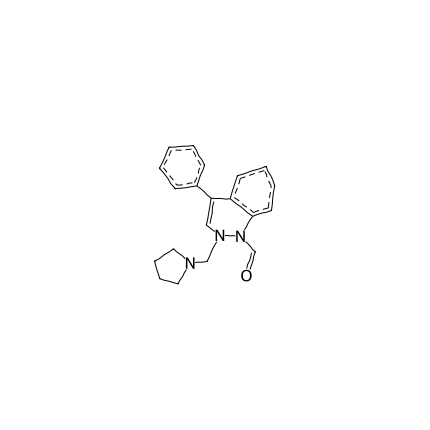 O=CN1c2ccccc2C(c2ccccc2)=CN1CN1CCCC1